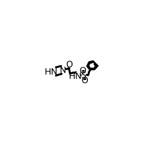 O=C(CCNS(=O)(=O)Cc1ccccc1)N1CCNCC1